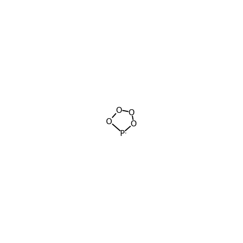 O1OO[P]O1